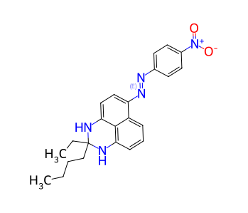 CCCCC1(CC)Nc2cccc3c(/N=N/c4ccc([N+](=O)[O-])cc4)ccc(c23)N1